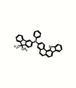 CC1(C)c2ccccc2-c2cc(N(c3ccccc3)c3ccc4c(ccc5ccc6c7ccccc7[se]c6c54)c3)ccc21